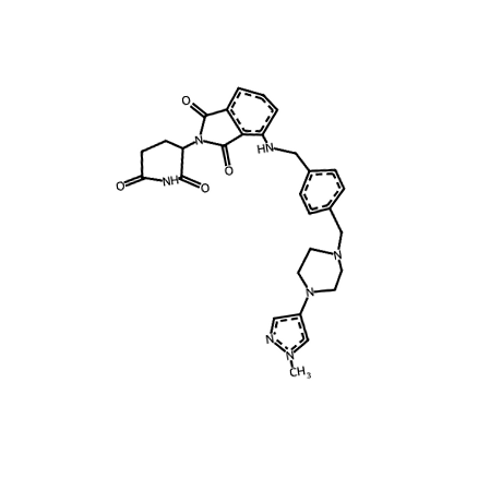 Cn1cc(N2CCN(Cc3ccc(CNc4cccc5c4C(=O)N(C4CCC(=O)NC4=O)C5=O)cc3)CC2)cn1